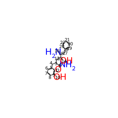 NC(=O)C(Cc1cccc(O)c1)CC(O)C(N)Cc1ccccc1